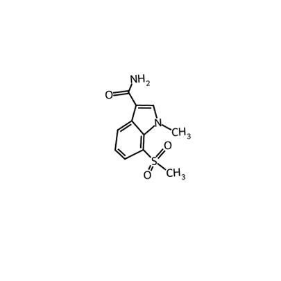 Cn1cc(C(N)=O)c2cccc(S(C)(=O)=O)c21